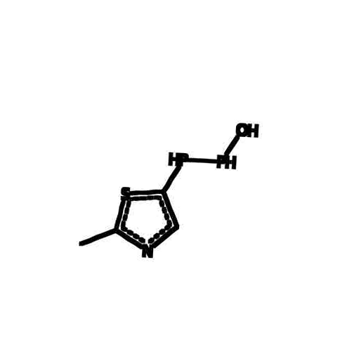 Cc1ncc(PPO)s1